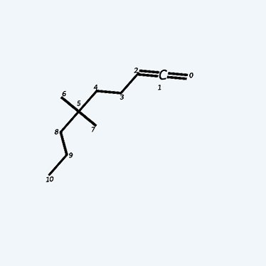 C=C=CCCC(C)(C)CCC